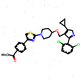 COC(=O)c1ccc(-c2csc(N3CCC(OCC4=C(C5CC5)CN=C4c4c(Cl)cccc4Cl)CC3)n2)cc1